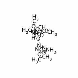 CCOC(=O)[C@H](C)NP(=O)(COCCn1cnc2c(OC(C)C)nc(N)nc21)N[C@@H](C)C(=O)OCC